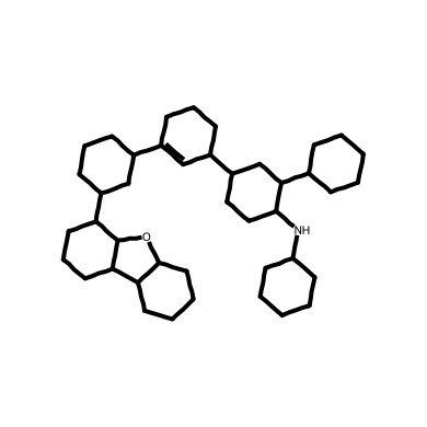 C1=C(C2CCCC(C3CCCC4C5CCCCC5OC34)C2)CCCC1C1CCC(NC2CCCCC2)C(C2CCCCC2)C1